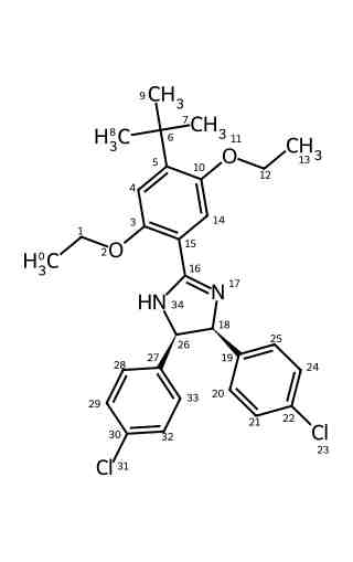 CCOc1cc(C(C)(C)C)c(OCC)cc1C1=N[C@@H](c2ccc(Cl)cc2)[C@@H](c2ccc(Cl)cc2)N1